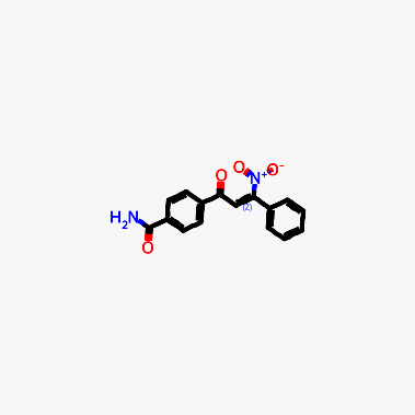 NC(=O)c1ccc(C(=O)/C=C(/c2ccccc2)[N+](=O)[O-])cc1